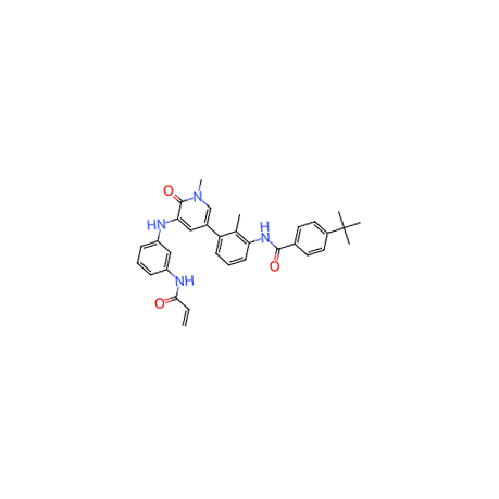 C=CC(=O)Nc1cccc(Nc2cc(-c3cccc(NC(=O)c4ccc(C(C)(C)C)cc4)c3C)cn(C)c2=O)c1